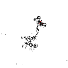 Cc1cnsc1-c1ccc([C@H](C)NC(=O)[C@@H]2C[C@@H](O)CN2C(=O)[C@@H](c2cc(OCCN3CCN(CCOc4cc(N5C6CCC5CN(c5cc(-c7ccccc7O)nnc5N)C6)ccn4)CC3)no2)C(C)C)cc1